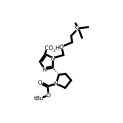 CC(C)(C)OC(=O)N1CCC[C@H]1c1ncc(C(=O)O)n1COCC[Si](C)(C)C